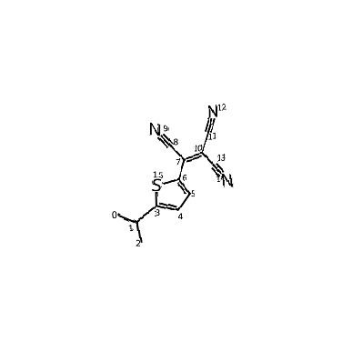 CC(C)c1ccc(C(C#N)=C(C#N)C#N)s1